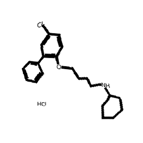 Cl.Clc1ccc(OCCCCNC2CCCCC2)c(-c2ccccc2)c1